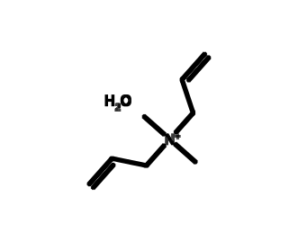 C=CC[N+](C)(C)CC=C.O